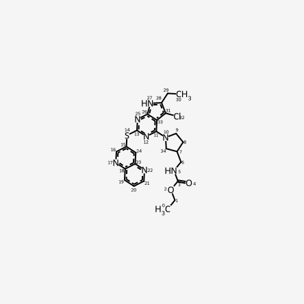 CCOC(=O)NCC1CCN(c2nc(Sc3cnc4cccnc4c3)nc3[nH]c(CC)c(Cl)c23)C1